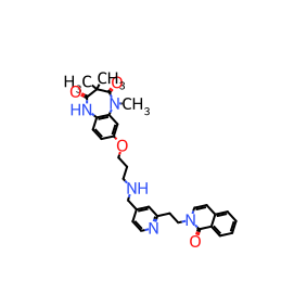 CN1C(=O)C(C)(C)C(=O)Nc2ccc(OCCCNCc3ccnc(CCn4ccc5ccccc5c4=O)c3)cc21